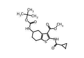 COC(=O)c1c(NC(=O)C2CC2)sc2c1CC(NC(=O)OC(C)(C)C)CC2